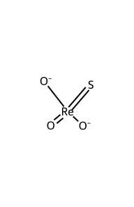 [O]=[Re]([O-])([O-])=[S]